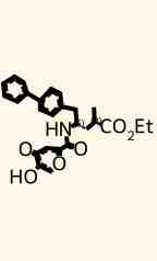 CCOC(=O)[C@H](C)C[C@@H](Cc1ccc(-c2ccccc2)cc1)NC(=O)c1cc(=O)c(O)co1